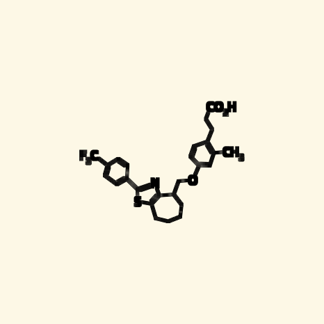 Cc1cc(OCC2CCCCc3sc(-c4ccc(C(F)(F)F)cc4)nc32)ccc1CCC(=O)O